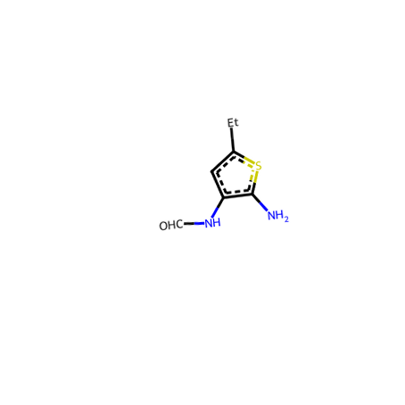 CCc1cc(NC=O)c(N)s1